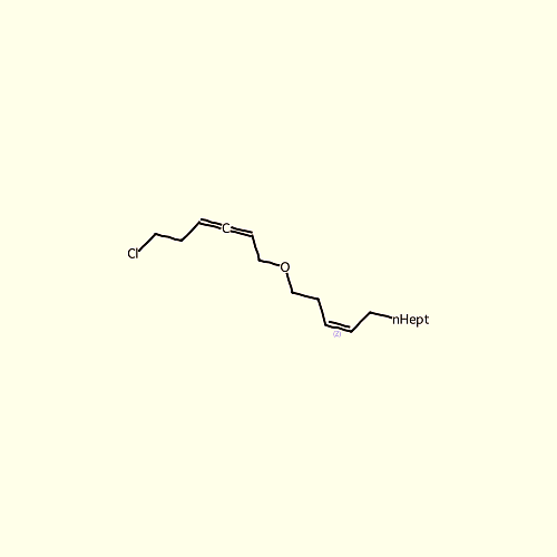 CCCCCCCC/C=C\CCOCC=C=CCCCl